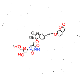 CC(C)(C)C(OCc1cn([C@H]2C[C@H](O)[C@@H](CO)O2)c(=O)[nH]c1=O)c1ccc(C#CCOc2ccc3ccc(=O)oc3c2)cc1[N+](=O)[O-]